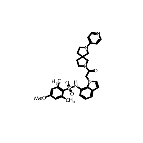 COc1cc(C)c(S(=O)(=O)Nc2cccc3ccn(CC(=O)N4CCC5(CCN(c6ccncc6)C5)C4)c23)c(C)c1